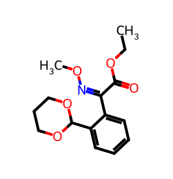 CCOC(=O)C(=NOC)c1ccccc1C1OCCCO1